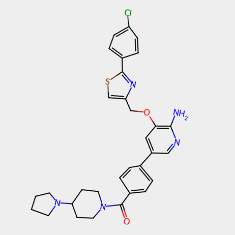 Nc1ncc(-c2ccc(C(=O)N3CCC(N4CCCC4)CC3)cc2)cc1OCc1csc(-c2ccc(Cl)cc2)n1